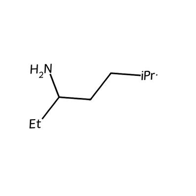 CCC(N)CC[C](C)C